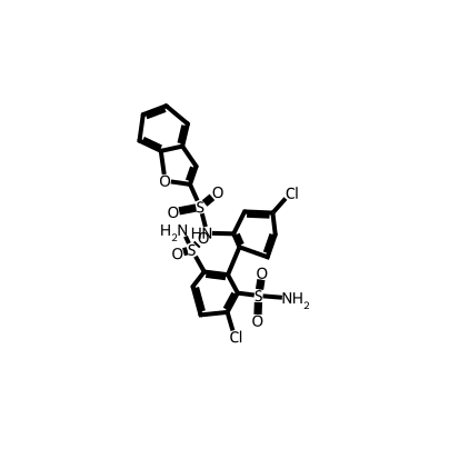 NS(=O)(=O)c1ccc(Cl)c(S(N)(=O)=O)c1-c1ccc(Cl)cc1NS(=O)(=O)c1cc2ccccc2o1